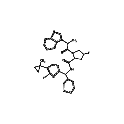 CC(C(=O)N1CC(F)CC1C(=O)NC(c1ccccc1)c1ccc(C2(C)CC2)c(F)n1)n1cnc2ccccc21